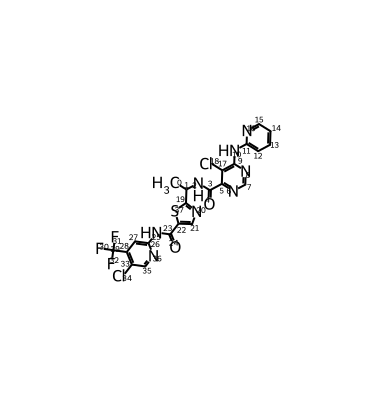 CC(NC(=O)c1ncnc(Nc2ccccn2)c1Cl)c1ncc(C(=O)Nc2cc(C(F)(F)F)c(Cl)cn2)s1